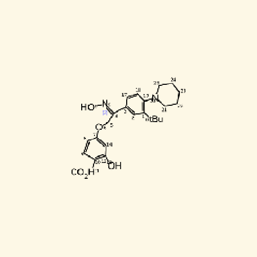 CC(C)(C)c1cc(/C(COc2ccc(C(=O)O)c(O)c2)=N/O)ccc1N1CCCCC1